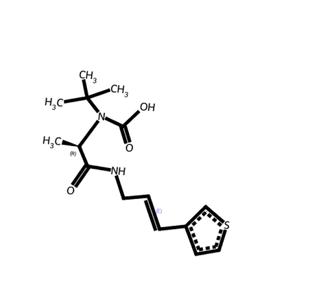 C[C@H](C(=O)NC/C=C/c1ccsc1)N(C(=O)O)C(C)(C)C